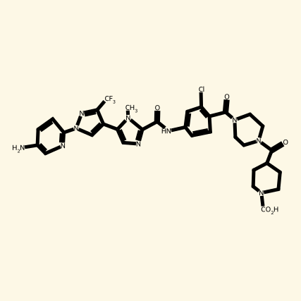 Cn1c(-c2cn(-c3ccc(N)cn3)nc2C(F)(F)F)cnc1C(=O)Nc1ccc(C(=O)N2CCN(C(=O)C3CCN(C(=O)O)CC3)CC2)c(Cl)c1